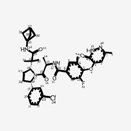 Cc1cc(Oc2c(C)cc(C(=O)N[C@H](C)C(=O)N3[C@H](c4cccc(Cl)c4)CC[C@@H]3C(C)(C)C(=O)NC34CC(C3)C4)cc2F)c(=O)[nH]n1